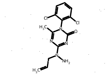 C=CCN(N)c1nc(C)n(-c2c(Cl)cccc2Cl)c(=O)n1